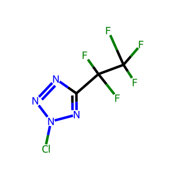 FC(F)(F)C(F)(F)c1nnn(Cl)n1